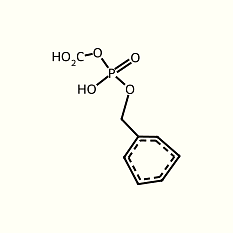 O=C(O)OP(=O)(O)OCc1ccccc1